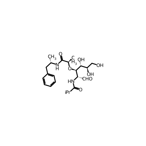 CC(C)C(=O)N[C@@H](C=O)[C@@H](O[C@H](C)C(=O)N[C@@H](C)Cc1ccccc1)[C@H](O)[C@H](O)CO